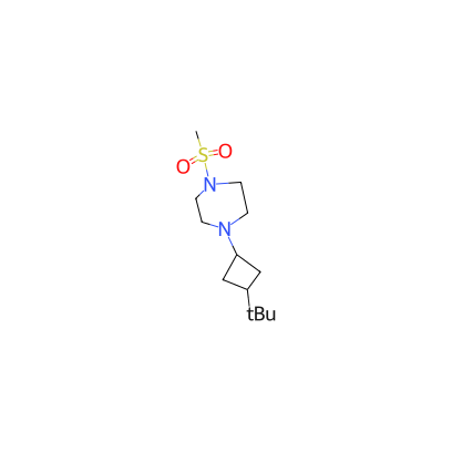 CC(C)(C)C1CC(N2CCN(S(C)(=O)=O)CC2)C1